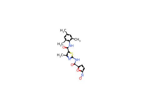 Cc1cc(C)c(NC(=O)c2sc(NC(=O)c3ccc(N=O)o3)nc2C)c(C)c1